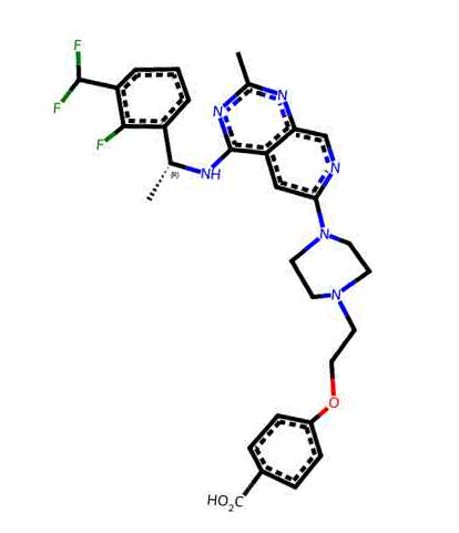 Cc1nc(N[C@H](C)c2cccc(C(F)F)c2F)c2cc(N3CCN(CCOc4ccc(C(=O)O)cc4)CC3)ncc2n1